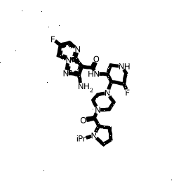 CC(C)N1CCCC1C(=O)N1CCN(C2C(F)CNCC2NC(=O)c2c(N)nn3cc(F)cnc23)CC1